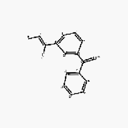 CC=C(Cl)c1cccc(C(=O)c2ccccc2)c1